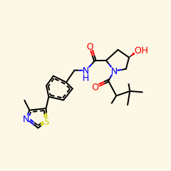 Cc1ncsc1-c1ccc(CNC(=O)C2C[C@@H](O)CN2C(=O)C(C)C(C)(C)C)cc1